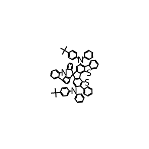 CC(C)(C)c1ccc(N(c2ccccc2)c2cc3c(c4sc5ccccc5c24)-c2c(cc(N(c4ccccc4)c4ccc(C(C)(C)C)cc4)c4c2sc2ccccc24)C32c3ccccc3-n3c4ccccc4c4cccc2c43)cc1